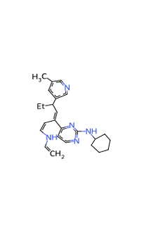 C=CN/C=C\C(=C/C(CC)c1cncc(C)c1)c1ccnc(NC2CCCCC2)n1